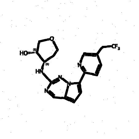 O[C@@H]1COCC[C@H]1Nc1ncc2ccc(-c3ccc(CC(F)(F)F)cn3)n2n1